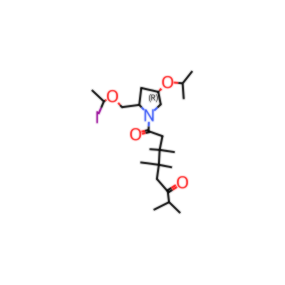 CC(C)O[C@@H]1CC(COC(C)I)N(C(=O)CC(C)(C)C(C)(C)CC(=O)C(C)C)C1